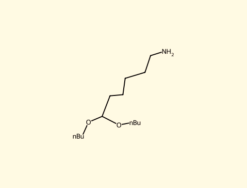 CCCCOC(CCCCCN)OCCCC